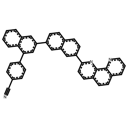 N#Cc1ccc(-c2cc(-c3ccc4ccc(-c5ccc6ccc7cccnc7c6n5)cc4c3)cc3ccccc23)cc1